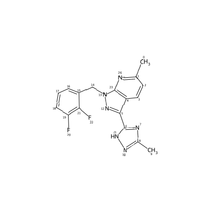 Cc1ccc2c(-c3nc(C)n[nH]3)nn(Cc3cccc(F)c3F)c2n1